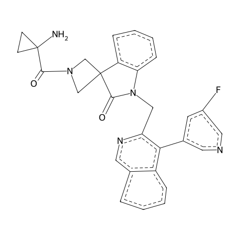 NC1(C(=O)N2CC3(C2)C(=O)N(Cc2ncc4ccccc4c2-c2cncc(F)c2)c2ccccc23)CC1